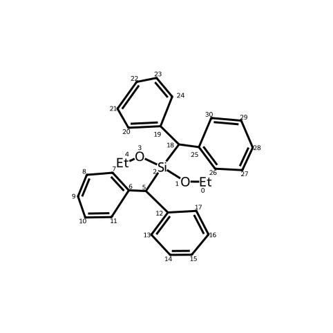 CCO[Si](OCC)(C(c1ccccc1)c1ccccc1)C(c1ccccc1)c1ccccc1